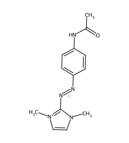 CC(=O)Nc1ccc(/N=N/c2n(C)cc[n+]2C)cc1